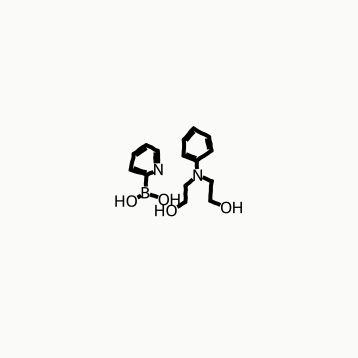 OB(O)c1ccccn1.OCCN(CCO)c1ccccc1